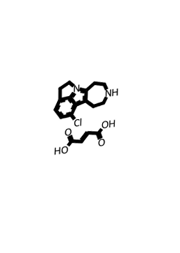 Clc1ccc2c3c1c1c(n3CC2)CCNCC1.O=C(O)C=CC(=O)O